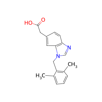 Cc1cccc(C)c1Cn1cnc2ccc(CC(=O)O)cc21